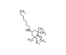 CCCCCCCNC1CC(C)(C)N(OC)C(C)(C)C1